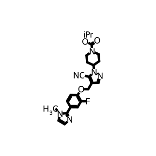 CC(C)OC(=O)N1CCC(n2ncc(COc3ccc(-c4nccn4C)cc3F)c2C#N)CC1